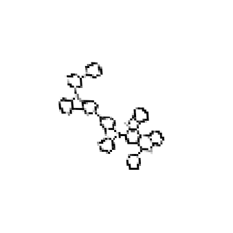 c1ccc(-c2cccc(-n3c4ccccc4c4cc(-c5ccc6c(c5)c5ccccc5n6-c5cc6c(-c7ccccc7)nc7ccccc7c6c6c5oc5ccccc56)ccc43)c2)cc1